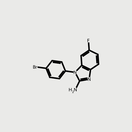 Nc1nc2ccc(F)cc2n1-c1ccc(Br)cc1